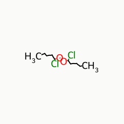 CCCCC(Cl)OOC(Cl)CCCC